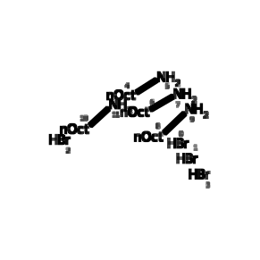 Br.Br.Br.Br.CCCCCCCCN.CCCCCCCCN.CCCCCCCCN.CCCCCCCCN